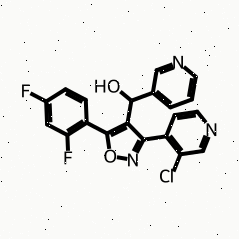 OC(c1cccnc1)c1c(-c2ccncc2Cl)noc1-c1ccc(F)cc1F